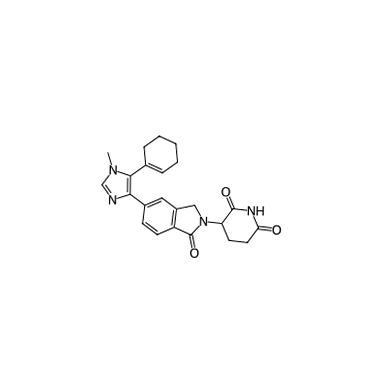 Cn1cnc(-c2ccc3c(c2)CN(C2CCC(=O)NC2=O)C3=O)c1C1=CCCCC1